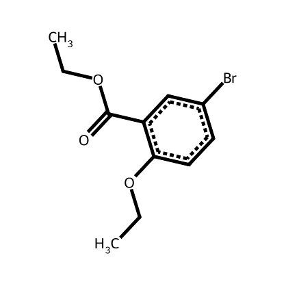 CCOC(=O)c1cc(Br)ccc1OCC